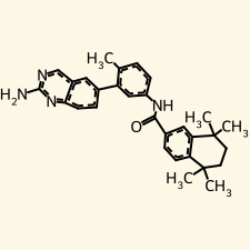 Cc1ccc(NC(=O)c2ccc3c(c2)C(C)(C)CCC3(C)C)cc1-c1ccc2nc(N)ncc2c1